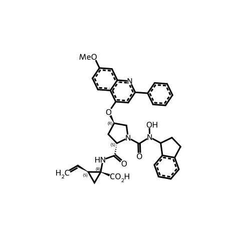 C=C[C@@H]1C[C@]1(NC(=O)[C@@H]1C[C@@H](Oc2cc(-c3ccccc3)nc3cc(OC)ccc23)CN1C(=O)N(O)C1CCc2ccccc21)C(=O)O